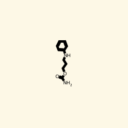 NC(=O)OCCCNc1ccccc1